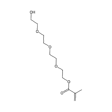 C=C(C)C(=O)OCCOCCOCCOCCO